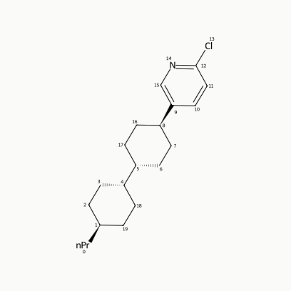 CCC[C@H]1CC[C@H]([C@H]2CC[C@H](c3ccc(Cl)nc3)CC2)CC1